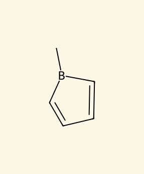 CB1C=CC=C1